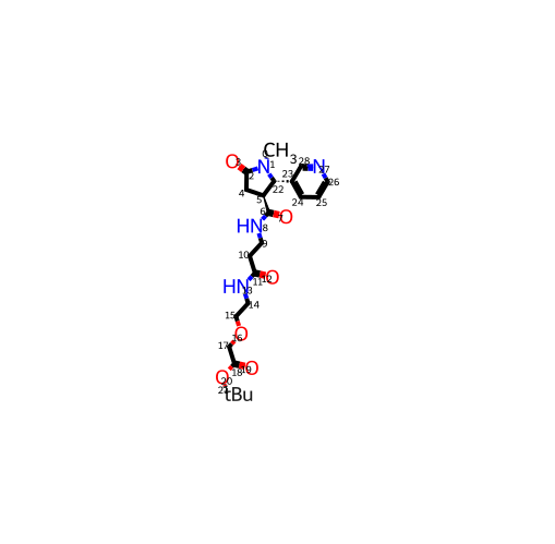 CN1C(=O)C[C@H](C(=O)NCCC(=O)NCCOCC(=O)OC(C)(C)C)[C@H]1c1cccnc1